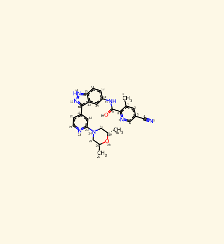 Cc1cc(C#N)cnc1C(=O)Nc1ccc2[nH]nc(-c3ccnc(N4C[C@H](C)O[C@@H](C)C4)c3)c2c1